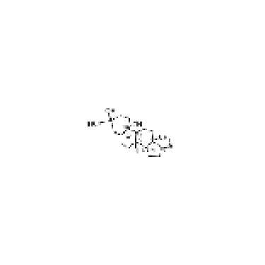 C#CC1(O)CC[C@@]2(C)C(CC[C@H]3[C@@H]4CC[C@H](C(C)=O)[C@@]4(C)CC[C@@H]32)C1